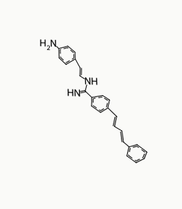 N=C(NC=Cc1ccc(N)cc1)c1ccc(C=CC=Cc2ccccc2)cc1